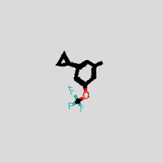 Cc1cc(OC(F)(F)F)cc(C2CC2)c1